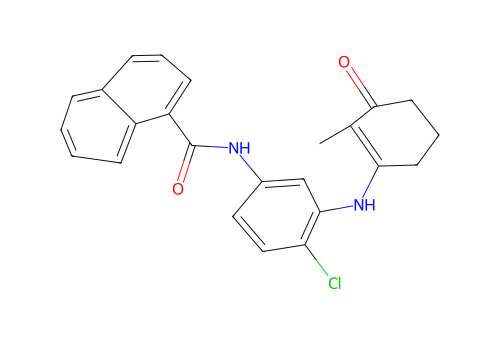 CC1=C(Nc2cc(NC(=O)c3cccc4ccccc34)ccc2Cl)CCCC1=O